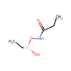 CCB(O)ONC(=O)CC